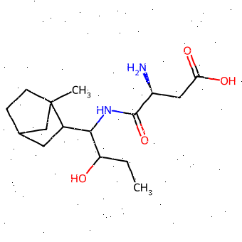 CCC(O)C(NC(=O)[C@@H](N)CC(=O)O)C1CC2CCC1(C)C2